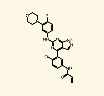 C=CC(=O)Nc1ccc(Cl)c(-c2nc(Nc3ccc(F)c(N4CCOCC4)c3)nc3[nH]ncc23)c1